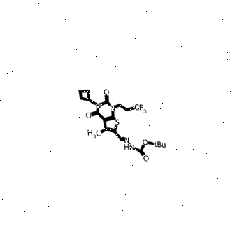 Cc1c(C=NNC(=O)OC(C)(C)C)sc2c1c(=O)n(C1CCC1)c(=O)n2CCC(F)(F)F